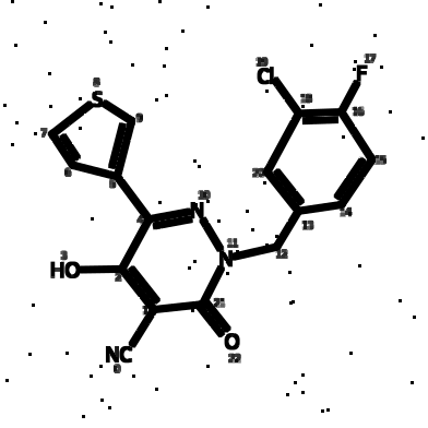 N#Cc1c(O)c(-c2ccsc2)nn(Cc2ccc(F)c(Cl)c2)c1=O